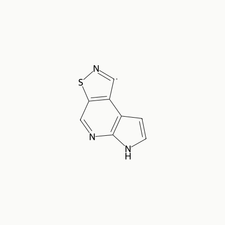 [c]1nsc2cnc3[nH]ccc3c12